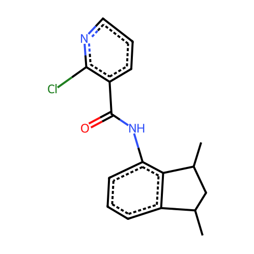 CC1CC(C)c2c(NC(=O)c3cccnc3Cl)cccc21